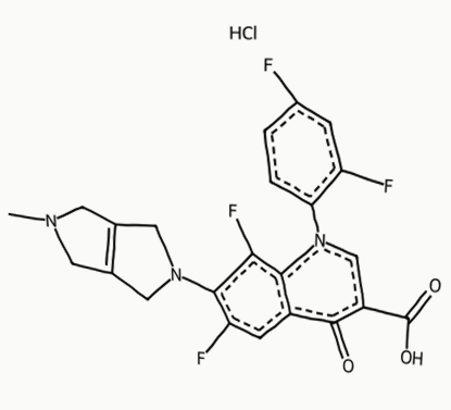 CN1CC2=C(C1)CN(c1c(F)cc3c(=O)c(C(=O)O)cn(-c4ccc(F)cc4F)c3c1F)C2.Cl